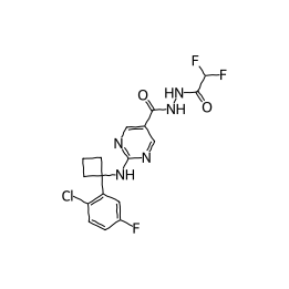 O=C(NNC(=O)C(F)F)c1cnc(NC2(c3cc(F)ccc3Cl)CCC2)nc1